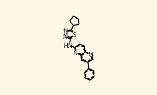 c1ccc(-c2cnc3ccc(Nc4nnc(C5CCCC5)s4)nc3c2)cc1